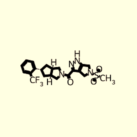 CS(=O)(=O)N1Cc2[nH]nc(C(=O)N3C[C@H]4C[C@H](c5ccccc5C(F)(F)F)C[C@H]4C3)c2C1